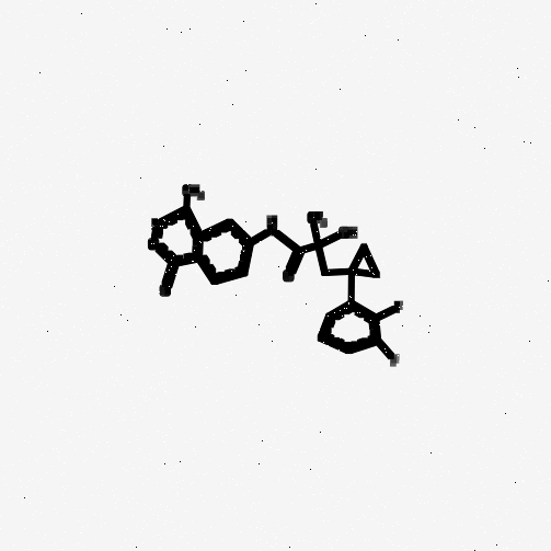 Cc1noc(=O)c2ccc(NC(=O)C(O)(CC3(c4cccc(F)c4F)CC3)C(F)(F)F)cc12